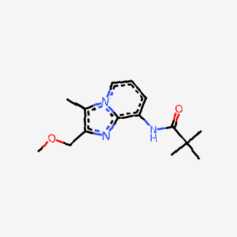 COCc1nc2c(NC(=O)C(C)(C)C)cccn2c1C